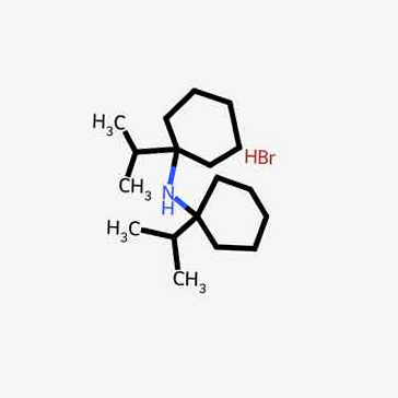 Br.CC(C)C1(NC2(C(C)C)CCCCC2)CCCCC1